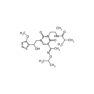 COc1ccsc1C(O)Cn1cc(/C(C)=N/OC(C)C)c(=O)n(C[C@H](C)NC(=O)C(C)C)c1=O